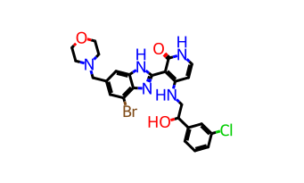 O=c1[nH]ccc(NCC(O)c2cccc(Cl)c2)c1-c1nc2c(Br)cc(CN3CCOCC3)cc2[nH]1